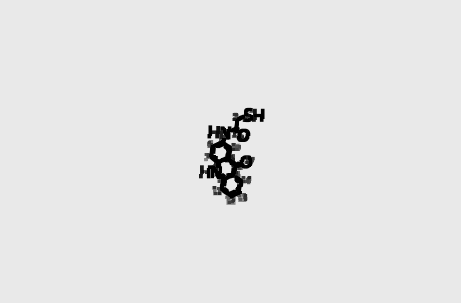 O=C(CS)Nc1ccc2[nH]c3ccccc3c(=O)c2c1